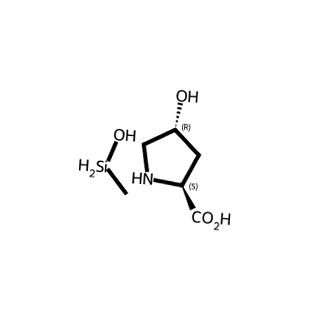 C[SiH2]O.O=C(O)[C@@H]1C[C@@H](O)CN1